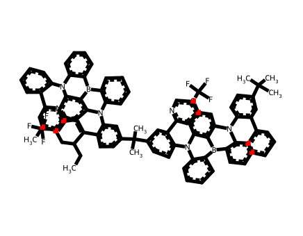 CCC1CC=C(C)C=C1c1ccc(C(C)(C)c2ccc(N3c4ccccc4B4c5ccccc5N(c5ccc(C(C)(C)C)cc5-c5ccccn5)c5cc(OC(F)(F)F)cc3c54)c(-c3ccccn3)c2)cc1N1c2ccccc2B2c3ccccc3N(c3ccccc3-c3cc(C)ccn3)c3cc(OC(F)(F)F)cc1c32